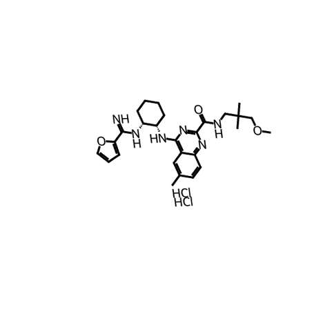 COCC(C)(C)CNC(=O)c1nc(N[C@H]2CCCC[C@H]2NC(=N)c2ccco2)c2cc(C)ccc2n1.Cl.Cl